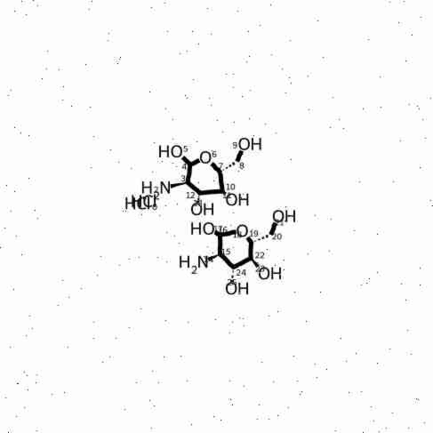 Cl.Cl.N[C@H]1C(O)O[C@H](CO)[C@@H](O)[C@@H]1O.N[C@H]1C(O)O[C@H](CO)[C@@H](O)[C@@H]1O